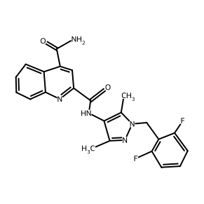 Cc1nn(Cc2c(F)cccc2F)c(C)c1NC(=O)c1cc(C(N)=O)c2ccccc2n1